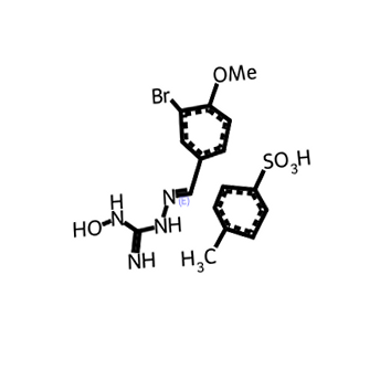 COc1ccc(/C=N/NC(=N)NO)cc1Br.Cc1ccc(S(=O)(=O)O)cc1